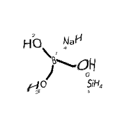 OB(O)O.[NaH].[SiH4]